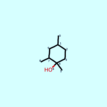 CC1CCC(C)(O)C(C)C1